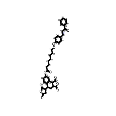 O=C1CC(C2CC3C(=O)OC(=O)C3c3cc(OC(=O)CCCCCCCOOc4ccc(/C=C/C(=O)c5ccccc5)cc4)ccc32)C(=O)O1